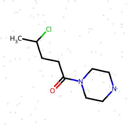 CC(Cl)CCC(=O)N1CC[N]CC1